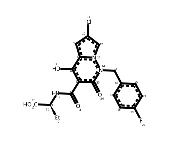 CC[C@H](NC(=O)c1c(O)c2cc(Cl)cn2n(Cc2ccc(F)cc2)c1=O)C(=O)O